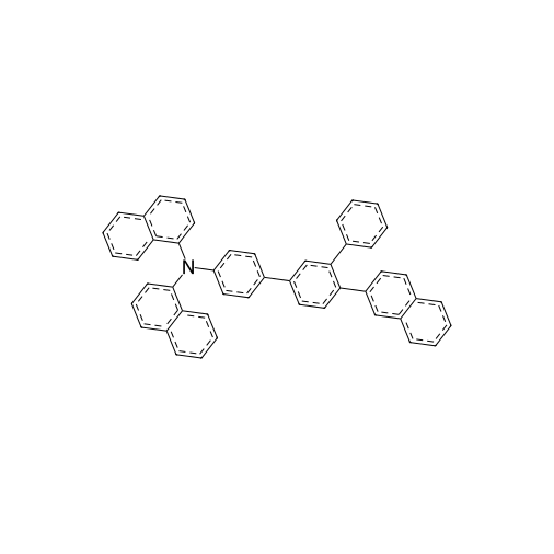 c1ccc(-c2cc(-c3ccc(N(c4cccc5ccccc45)c4cccc5ccccc45)cc3)ccc2-c2ccc3ccccc3c2)cc1